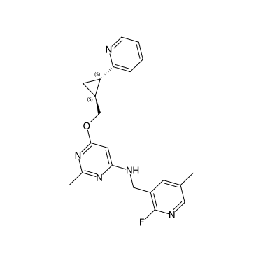 Cc1cnc(F)c(CNc2cc(OC[C@H]3C[C@@H]3c3ccccn3)nc(C)n2)c1